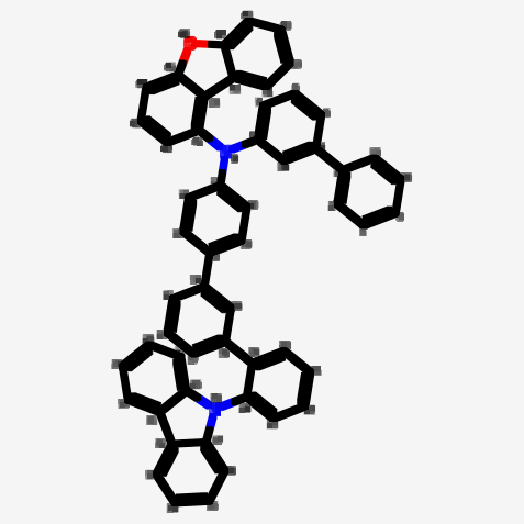 c1ccc(-c2cccc(N(c3ccc(-c4cccc(-c5ccccc5-n5c6ccccc6c6ccccc65)c4)cc3)c3cccc4oc5ccccc5c34)c2)cc1